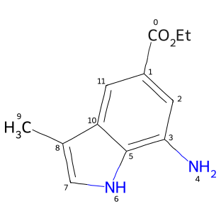 CCOC(=O)c1cc(N)c2[nH]cc(C)c2c1